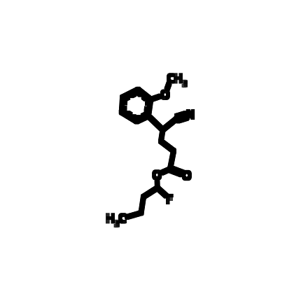 CCCC(F)OC(=O)CCC(C#N)c1ccccc1OC